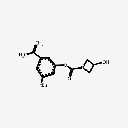 C=C(C)c1cc(OC(=O)N2CC(O)C2)cc(C(C)(C)C)c1